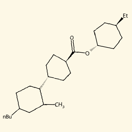 CCCCC1CCC([C@H]2CC[C@H](C(=O)O[C@H]3CC[C@H](CC)CC3)CC2)C(C)C1